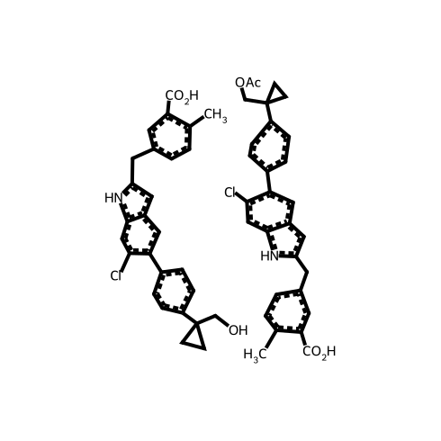 CC(=O)OCC1(c2ccc(-c3cc4cc(Cc5ccc(C)c(C(=O)O)c5)[nH]c4cc3Cl)cc2)CC1.Cc1ccc(Cc2cc3cc(-c4ccc(C5(CO)CC5)cc4)c(Cl)cc3[nH]2)cc1C(=O)O